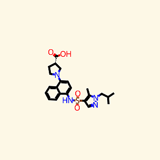 Cc1c(S(=O)(=O)Nc2ccc(N3CC[C@H](C(=O)O)C3)c3ccccc23)cnn1CC(C)C